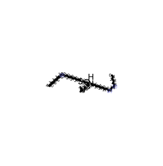 CCCCC/C=C\C/C=C\CCCCCCCCN[C](OCCSCCCCCCCC/C=C\CCCCCCCC)SCCN(C)C